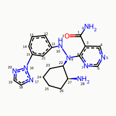 NC(=O)c1cncnc1N(Nc1cccc(-n2nccn2)c1)[C@@H]1CCCC[C@@H]1N